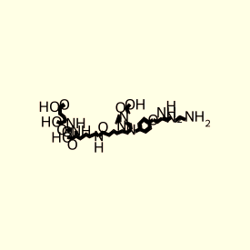 NCCCN/C=C(\N)COc1ccc(CN(CCCCCC(=O)NCCCCC(NC(=O)NC(CCC(=O)O)C(=O)O)C(=O)O)Cc2nccn2CC(=O)O)cc1